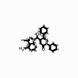 CC(c1cc(=O)n(-c2ccccc2)nc1-c1ccccc1)n1nc(I)c2c(N)ncnc21